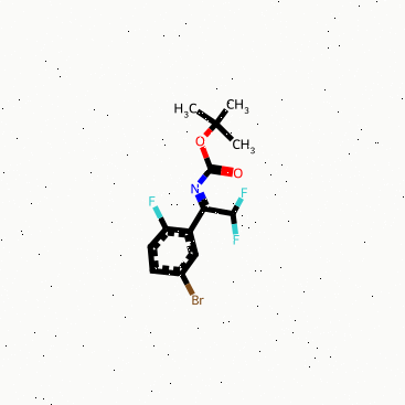 CC(C)(C)OC(=O)N=C(c1cc(Br)ccc1F)C(F)F